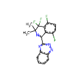 CC1(C)N=C(c2nnc3ccccc3n2)c2c(F)ccc(F)c2C1(F)F